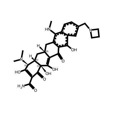 CNc1c2c(c(O)c3cc(CN4CCC4)ccc13)C(=O)C1=C(O)[C@]3(O)C(=O)C(C(N)=O)=C(O)[C@@H](N(C)C)[C@@H]3C[C@@H]1C2